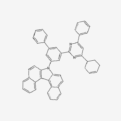 C1=CCC(c2cc(-c3ccccc3)nc(-c3cc(-c4ccccc4)cc(-n4c5ccc6ccccc6c5c5c6ccccc6ccc54)c3)n2)CC1